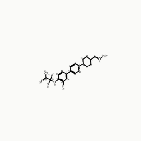 CCCOCC1CCC(c2ccc(-c3ccc(OC(F)(F)C(F)C(F)(F)F)c(F)c3)cc2)CC1